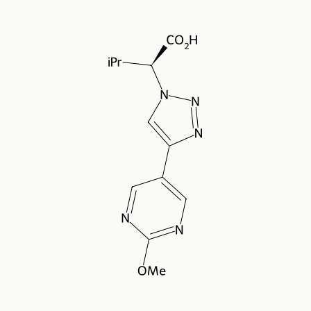 COc1ncc(-c2cn([C@H](C(=O)O)C(C)C)nn2)cn1